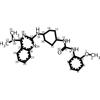 COc1ccccc1NC(=O)NC1CCC(Nc2nc(N(C)C)c3ccccc3n2)CC1